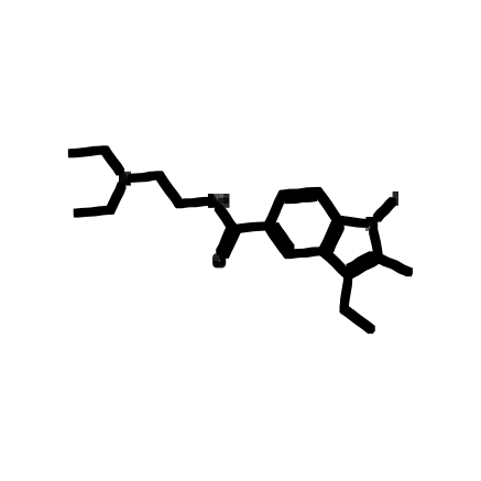 CCc1c(C)n(I)c2ccc(C(=O)NCCN(CC)CC)cc12